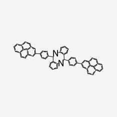 c1ccc2c(c1)/N=C(/c1ccc(-c3cc4ccc5cccc6ccc(c3)c4c56)cc1)c1ccccc1/N=C\2c1ccc(-c2cc3ccc4cccc5ccc(c2)c3c45)cc1